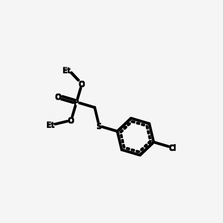 CCOP(=O)(CSc1ccc(Cl)cc1)OCC